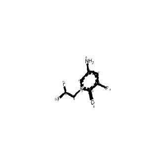 Nc1cc(F)c(=O)n(CC(F)F)c1